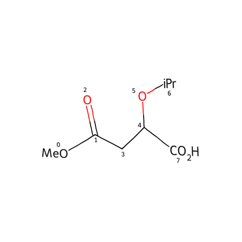 COC(=O)CC(OC(C)C)C(=O)O